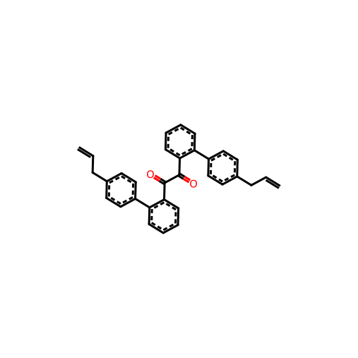 C=CCc1ccc(-c2ccccc2C(=O)C(=O)c2ccccc2-c2ccc(CC=C)cc2)cc1